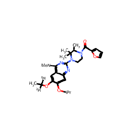 [2H]C([2H])(C)Oc1cc2c(NC)nc(N3CCN(C(=O)c4ccco4)C(C)C3(C)C)nc2cc1OC(C)C